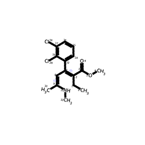 CC/C(C(=O)OC)=C(\C=C(\C)NC)c1cccc(Cl)c1Cl